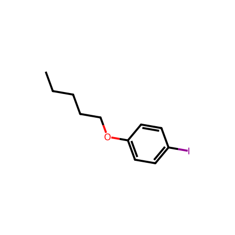 CCCCCOc1ccc(I)cc1